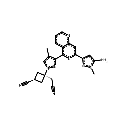 Cc1cn([C@]2(CC#N)C[C@H](C#N)C2)nc1-c1nc(-c2cc(N)n(C)n2)cc2ncccc12